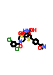 O=C(CC1(c2ccc(-c3ccc(-c4cnco4)cc3)s2)CCN(C(=O)c2cc(Cl)ccc2Cl)CCS1(=O)=O)NO